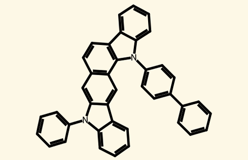 c1ccc(-c2ccc(-n3c4ccccc4c4ccc5cc6c(cc5c43)c3ccccc3n6-c3ccccc3)cc2)cc1